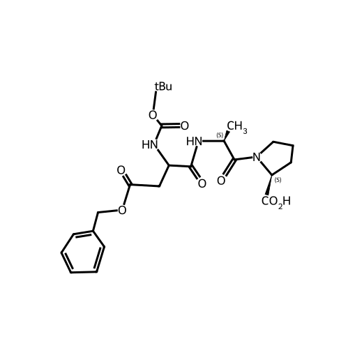 C[C@H](NC(=O)C(CC(=O)OCc1ccccc1)NC(=O)OC(C)(C)C)C(=O)N1CCC[C@H]1C(=O)O